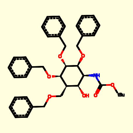 CC(C)(C)OC(=O)N[C@H]1[C@H](O)[C@H](COCc2ccccc2)[C@H](OCc2ccccc2)[C@H](OCc2ccccc2)[C@H]1OCc1ccccc1